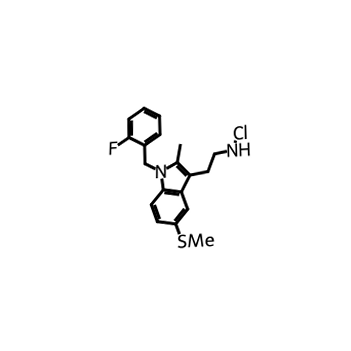 CSc1ccc2c(c1)c(CCNCl)c(C)n2Cc1ccccc1F